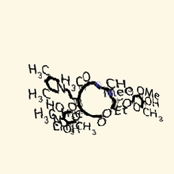 CC[C@H]1OC(=O)CC[C@H](C)[C@@H](O[C@@H]2O[C@H](C)[C@@H](O)C(N(C)C)C2O)[C@@H](CCN2CC(C)CC(C)C2)C[C@@H](C)C(=O)/C=C/C(C)=C/[C@@H]1CO[C@@H]1OC(C)[C@@H](O)[C@H](OC)C1OC